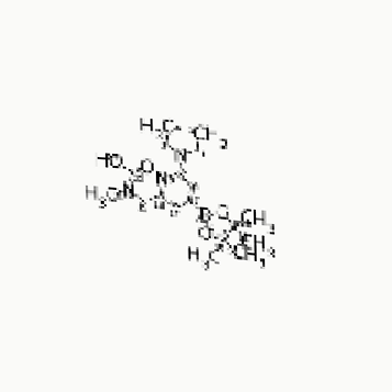 CCN(CC)c1cc(B2OC(C)(C)C(C)(C)O2)cc(CN(C)C(=O)O)n1